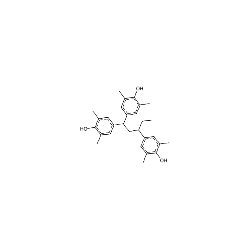 CCC(CC(c1cc(C)c(O)c(C)c1)c1cc(C)c(O)c(C)c1)c1cc(C)c(O)c(C)c1